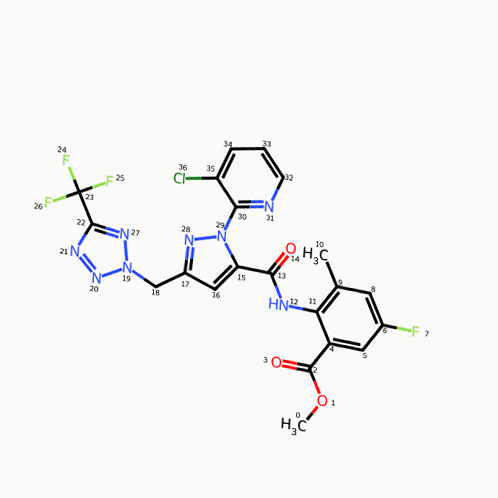 COC(=O)c1cc(F)cc(C)c1NC(=O)c1cc(Cn2nnc(C(F)(F)F)n2)nn1-c1ncccc1Cl